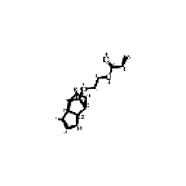 C=CC(=O)OCCOC1C2CCC1C1CC=CC12